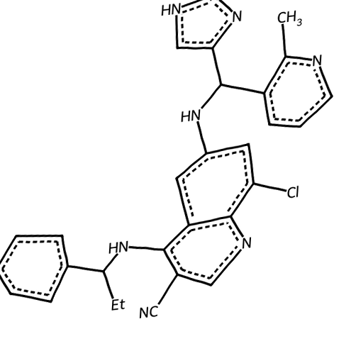 CCC(Nc1c(C#N)cnc2c(Cl)cc(NC(c3c[nH]nn3)c3cccnc3C)cc12)c1ccccc1